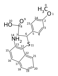 COc1ccc(C(CC(=O)O)Sc2c(N)ccc3ccccc23)cc1